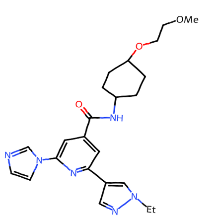 CCn1cc(-c2cc(C(=O)NC3CCC(OCCOC)CC3)cc(-n3ccnc3)n2)cn1